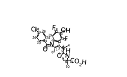 Cc1c([C@@H](C)C(=O)NC(C)(C)C(=O)O)c2c(F)c(O)c(F)cc2n1C(=O)c1ccc(Cl)cc1